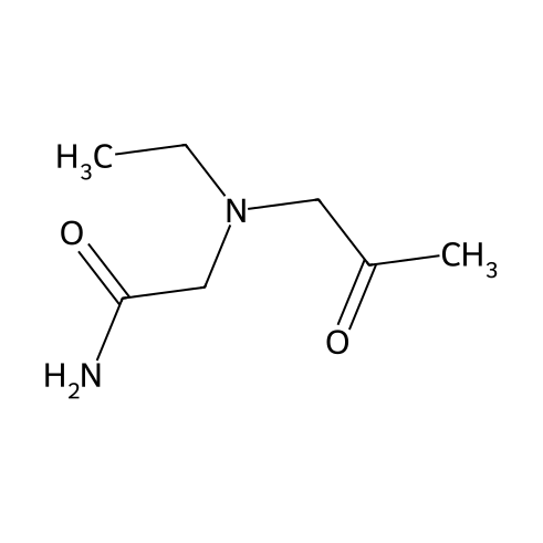 CCN(CC(C)=O)CC(N)=O